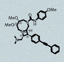 COc1ccc(NC(=O)N2C[C@@H](OC)[C@@H](OC)CN3[C@H](CN(C)C)[C@H](c4ccc(C#Cc5ccccc5)cc4)[C@@H]3C2)cc1